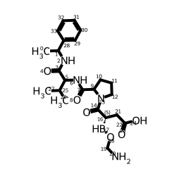 CC(NC(=O)C(NC(=O)C1CCCN1C(=O)[C@@H](BOCN)CC(=O)O)C(C)C)c1ccccc1